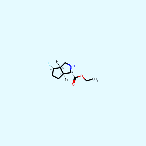 CCOC(=O)[C@H]1NC[C@H]2[C@@H]1CC[C@@H]2F